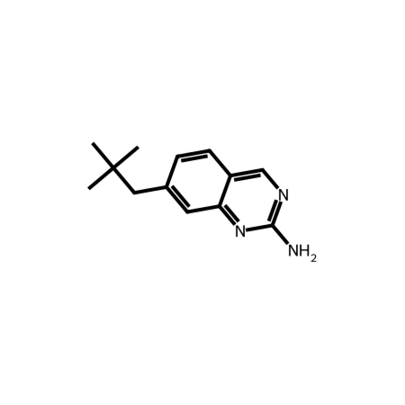 CC(C)(C)Cc1ccc2cnc(N)nc2c1